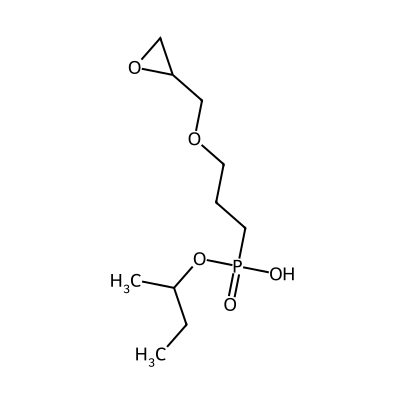 CCC(C)OP(=O)(O)CCCOCC1CO1